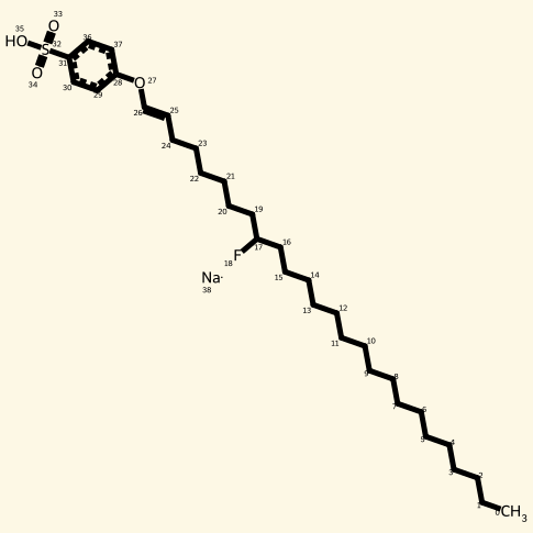 CCCCCCCCCCCCCCCCCC(F)CCCCCCC=COc1ccc(S(=O)(=O)O)cc1.[Na]